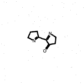 O=C1CCN=C1C1=NCCC1